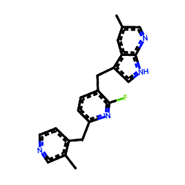 Cc1cnc2[nH]cc(Cc3ccc([CH]c4ccncc4C)nc3F)c2c1